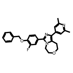 Cc1cc(-c2nc(-c3ccc(OCc4ccccc4)c(F)c3)n3c2CCOCC3)cc(C)n1